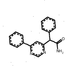 NC(=O)C(c1ccccc1)c1cc(-c2ccccc2)ncn1